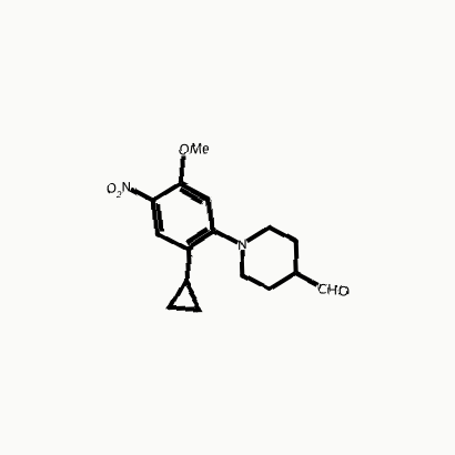 COc1cc(N2CCC(C=O)CC2)c(C2CC2)cc1[N+](=O)[O-]